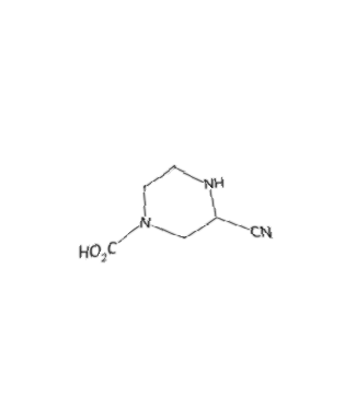 N#CC1CN(C(=O)O)CCN1